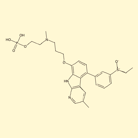 CC[S+]([O-])c1cccc(-c2ccc(OCCCN(C)CCOP(=O)(O)O)c3[nH]c4ncc(C)cc4c23)c1